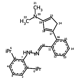 CC(C)c1cccc(C(C)C)c1NN=Cc1ccccc1C1=CC(N(C)C)=CC1